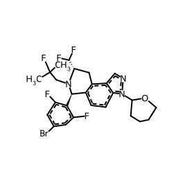 CC(C)(F)CN1[C@H](c2c(F)cc(Br)cc2F)c2ccc3c(cnn3C3CCCCO3)c2C[C@H]1C(F)F